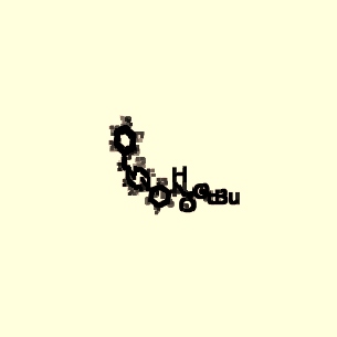 CC(C)(C)OC(=O)N[C@@H]1CCC[C@H](N2CCN(Cc3ccccc3)CC2)C1